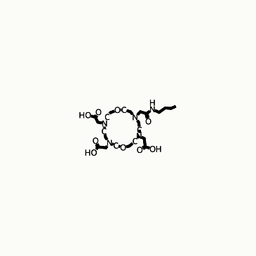 CCCCNC(=O)CN1CCOCCN(CC(=O)O)CCN(CC(=O)O)COCCN(CC(=O)O)CC1